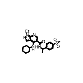 CCn1ncc2c(NC3CCCCC3)c(C(=O)NC(C)c3ccc(S(C)(=O)=O)cc3)cnc21